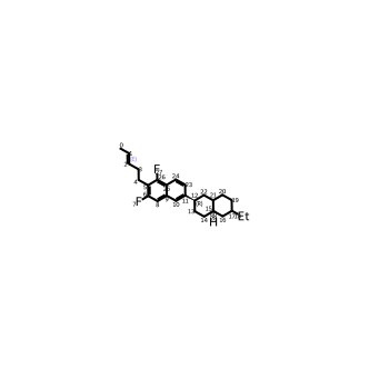 C/C=C/CCc1c(F)cc2cc([C@@H]3CC[C@@H]4CC(CC)CCC4C3)ccc2c1F